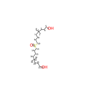 CC(C)(CCCO)CCCC[S+]([O-])CCCCC(C)(C)CCCO